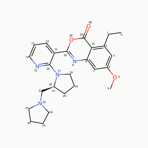 CCc1cc(OC)cc2nc(-c3cccnc3N3CCC[C@H]3CN3CCCC3)oc(=O)c12